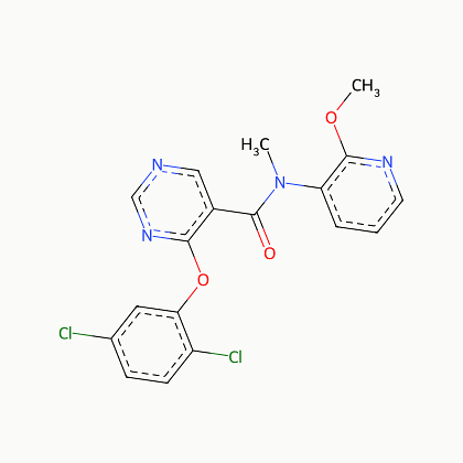 COc1ncccc1N(C)C(=O)c1cncnc1Oc1cc(Cl)ccc1Cl